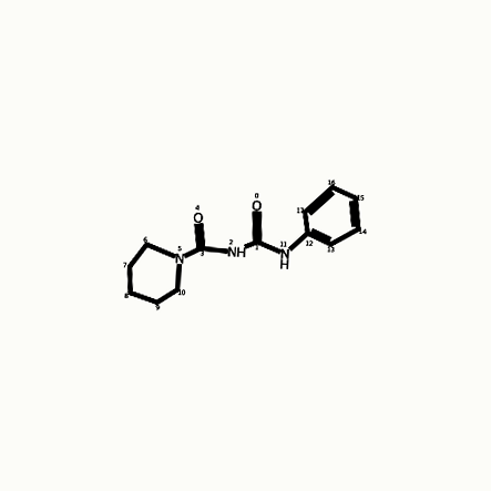 O=C(NC(=O)N1CCCCC1)Nc1ccccc1